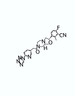 Cc1c([C@@H]2CN3CCN(C(=O)Cc4ccc(-n5cnnn5)nc4)C[C@@H]3CO2)ccc(F)c1C#N